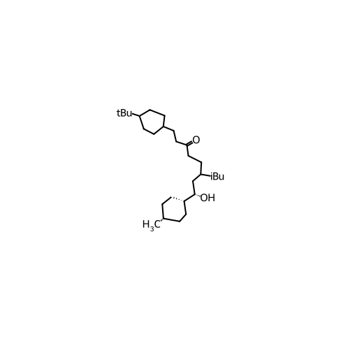 CCC(C)C(CCC(=O)CCC1CCC(C(C)(C)C)CC1)C[C@H](O)[C@H]1CC[C@@H](C)CC1